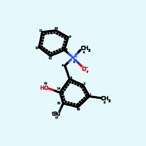 Cc1cc(C[N+](C)([O-])c2ccccc2)c(O)c(C(C)(C)C)c1